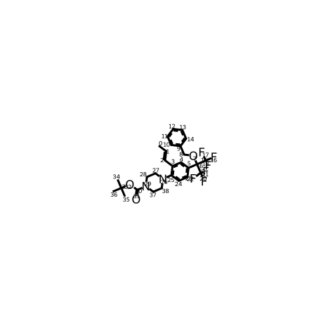 CC=Cc1cc(C(OCc2ccccc2)(C(F)(F)F)C(F)(F)F)ccc1N1CCN(C(=O)OC(C)(C)C)CC1